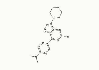 CN(C)c1ccc(-c2nc(Cl)nc3c2ncn3C2CCCCO2)cn1